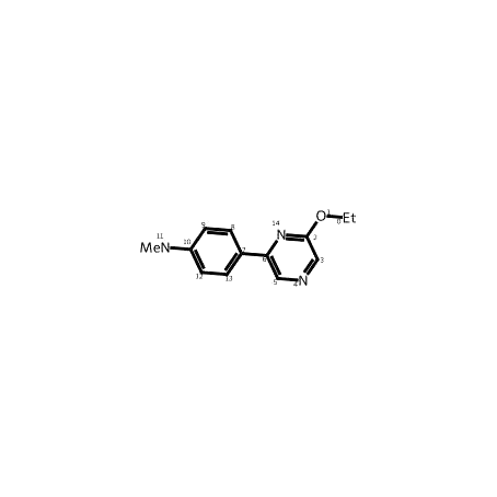 CCOc1cncc(-c2ccc(NC)cc2)n1